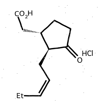 CC/C=C\C[C@@H]1C(=O)CC[C@H]1CC(=O)O.Cl